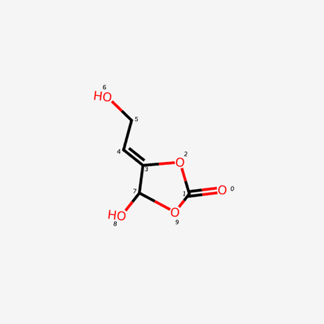 O=C1OC(=CCO)C(O)O1